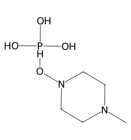 CN1CCN(O[PH](O)(O)O)CC1